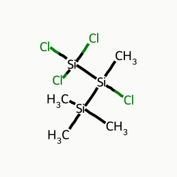 C[Si](C)(C)[Si](C)(Cl)[Si](Cl)(Cl)Cl